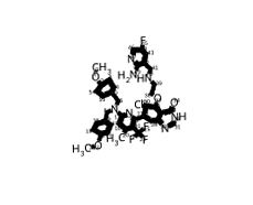 COc1ccc(CN(Cc2ccc(OC)cc2)c2cc(C)c(C(F)(F)F)c(-c3cc4nc[nH]c(=O)c4c(OCCNCc4cc(F)cnc4N)c3Cl)n2)cc1